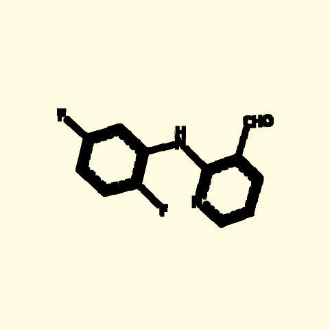 O=Cc1cccnc1Nc1cc(F)ccc1F